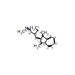 C=CC(/C=C1\C(=C)C2=CC=CC#CC2C1=C)C/C=N\C